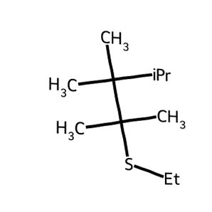 CCSC(C)(C)C(C)(C)C(C)C